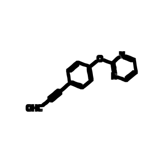 O=CC#Cc1ccc(Oc2ncccn2)cc1